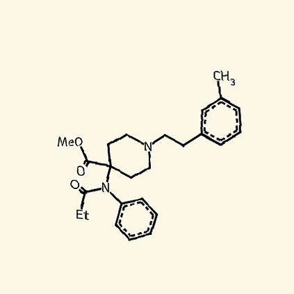 CCC(=O)N(c1ccccc1)C1(C(=O)OC)CCN(CCc2cccc(C)c2)CC1